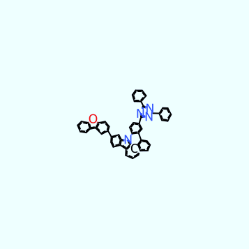 c1ccc(-c2nc(-c3ccccc3)nc(-c3ccc(-n4c5ccccc5c5ccc(-c6ccc7oc8ccccc8c7c6)cc54)c(-c4ccccc4)c3)n2)cc1